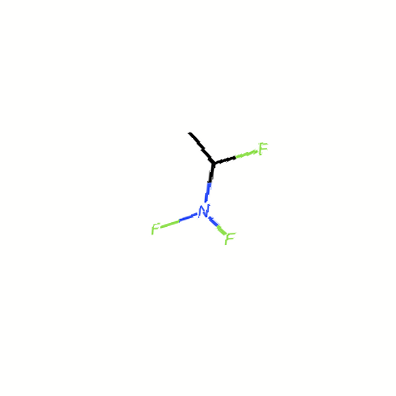 CC(F)N(F)F